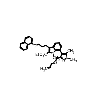 C=CCOCc1nn(C)c(C)c1-c1cccc2c(CCCOc3cccc4ccccc34)c(C(=O)OCC)n(C)c12